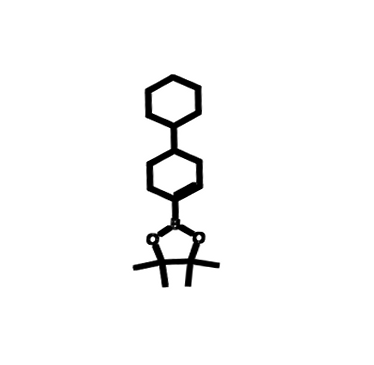 CC1(C)OB(C2=CCC(C3CCCCC3)CC2)OC1(C)C